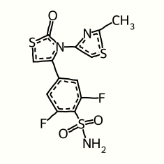 Cc1nc(-n2c(-c3cc(F)c(S(N)(=O)=O)c(F)c3)csc2=O)cs1